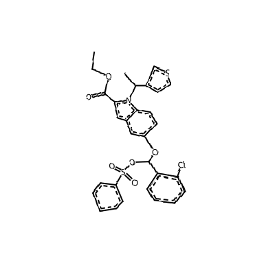 CCOC(=O)c1cc2cc(OC(OS(=O)(=O)c3ccccc3)c3ccccc3Cl)ccc2n1C(C)c1ccsc1